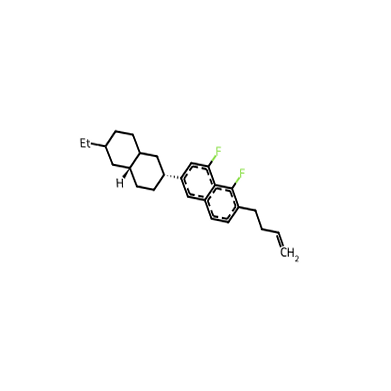 C=CCCc1ccc2cc([C@@H]3CC[C@@H]4CC(CC)CCC4C3)cc(F)c2c1F